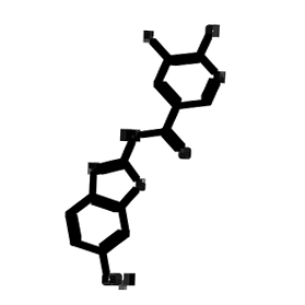 O=C(O)c1ccc2nc(NC(=O)c3cnc(Cl)c(F)c3)sc2c1